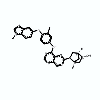 Cc1cc(Nc2ncnc3cnc(N4C[C@@H]5C[C@H]4C[C@H]5O)nc23)ccc1Oc1ccc2c(c1)ncn2C